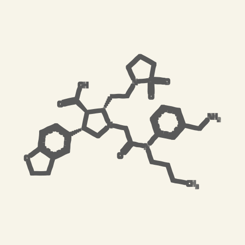 CCCCN(C(=O)CN1C[C@H](c2ccc3c(c2)CCO3)[C@@H](C(=O)O)[C@@H]1CCN1CCCS1(=O)=O)c1cccc(CN)c1